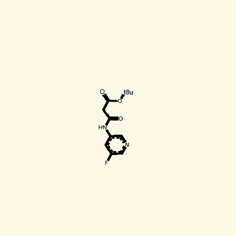 CC(C)(C)OC(=O)CC(=O)Nc1cncc(F)c1